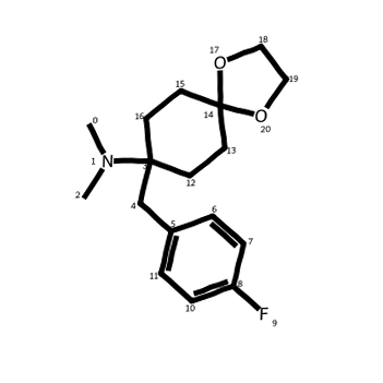 CN(C)C1(Cc2ccc(F)cc2)CCC2(CC1)OCCO2